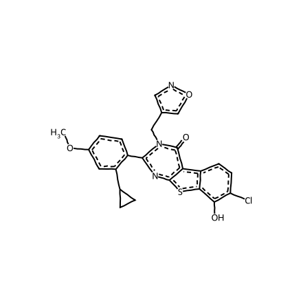 COc1ccc(-c2nc3sc4c(O)c(Cl)ccc4c3c(=O)n2Cc2cnoc2)c(C2CC2)c1